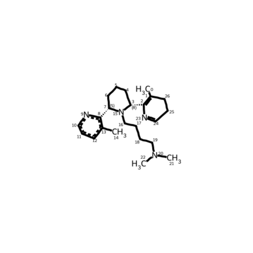 CC1=C([C@H]2CCC[C@@H](c3ncccc3C)N2CCCCN(C)C)N=CCC1